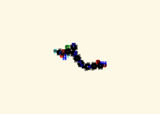 O=C1CC[C@H](c2ccc(N3CCC(CN4CCN(c5ccc(-n6cc(-c7cc(Cl)cc(NS(=O)(=O)N8CC(F)C8)c7F)c(-c7ccncc7)n6)cc5)CC4)CC3)cc2)C(=O)N1